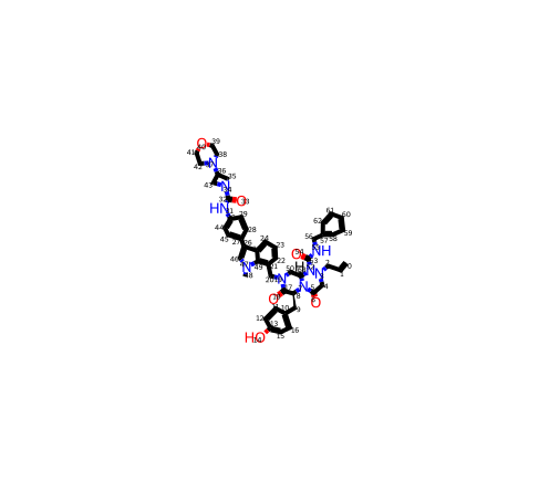 C=CCN1CC(=O)N2[C@@H](Cc3ccc(O)cc3)C(=O)N(Cc3cccc4c(-c5ccc(NC(=O)N6CC(N7CCOCC7)C6)cc5)cn(C)c34)C[C@@H]2N1C(=O)NCc1ccccc1